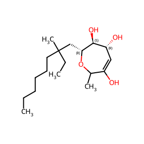 CCCCCCC(C)(CC)C[C@H]1OC(C)C(O)=C[C@@H](O)[C@@H]1O